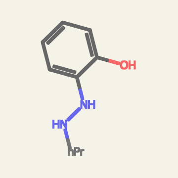 CCCNNc1ccccc1O